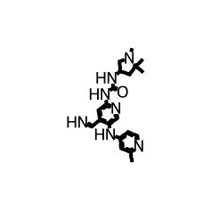 Cc1cc(Nc2cnc(NC(=O)NC3CN(C)C(C)(C)C3)cc2C=N)ccn1